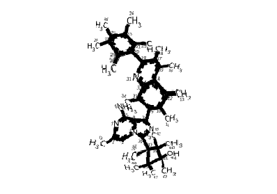 Cc1cn2c(c(N)n1)c(-c1c(C)c(C)c3c(C)c(C)c(-c4c(C)c(C)c(C)c(C)c4C)nc3c1C)nc2[C@]1(C)C(C)(C)[C@](C)(O)C1(C)C